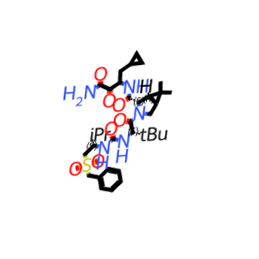 CC(C)[C@@H](CS(=O)(=O)Cc1ccccc1)NC(=O)N[C@H](C(=O)N1CC2[C@@H]([C@H]1C(=O)NC(CC1CC1)C(=O)C(N)=O)C2(C)C)C(C)(C)C